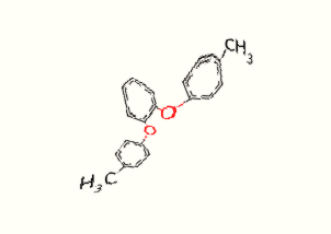 Cc1ccc(Oc2ccccc2Oc2ccc(C)cc2)cc1